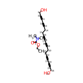 CCOC(=O)N(C)C.OCC#CC#CCCC#CC#CCCC#CC#CCO